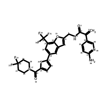 C=C(C(=O)NCc1cc2cc(-c3ccc(C(=O)N4CCC(F)(F)CC4)s3)cc(C(F)(F)F)c2o1)c1ccc(N)nc1